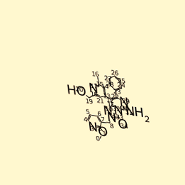 COc1ncccc1Cn1nc2c(-c3cc(C)nc(CO)c3)c(-c3ccccc3)nc(N)n2c1=O